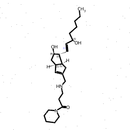 CCCCC[C@H](O)/C=C/[C@@H]1[C@H]2CC(CNCCC(=O)N3CCCCC3)=C[C@H]2C[C@H]1O